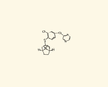 CN1[C@@H]2CC[C@H]1CC(Sc1ccc(Oc3cnccn3)cc1Cl)C2